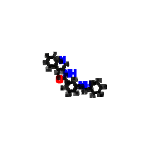 O=C(Nc1cnc2ccccc2c1)c1cccc(NCC2CCCCC2)c1